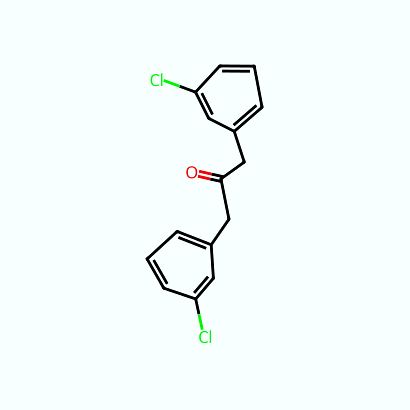 O=C(Cc1cccc(Cl)c1)Cc1cccc(Cl)c1